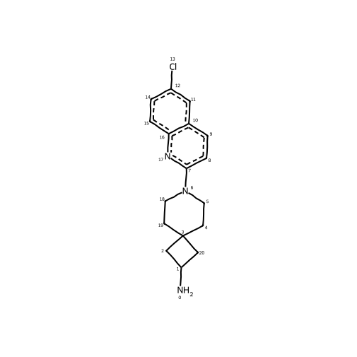 NC1CC2(CCN(c3ccc4cc(Cl)ccc4n3)CC2)C1